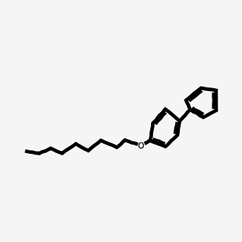 CCCCCCCCCOc1ccc(-c2ccccc2)cc1